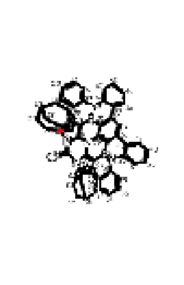 O=c1n2c3c(c4c2n2c5c(c6c(n15)C1CC5CC(CC6C5)C1)B1c5c(cc6c(c5-2)B4N(c2ccccc2)c2ccccc2-6)-c2ccccc2N1c1ccccc1)C1CC2CC(C1)CC3C2